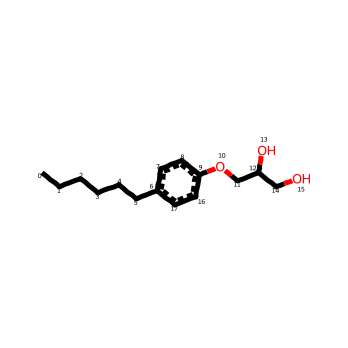 CCCCCCc1ccc(OCC(O)CO)cc1